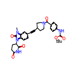 Cn1c(=O)n(C2CCC(=O)NC2=O)c2ccc(C#CC3CCN(C(=O)c4ccc(NC(=O)OC(C)(C)C)cc4)CC3)cc21